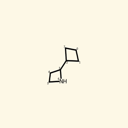 C1CC(C2CCN2)C1